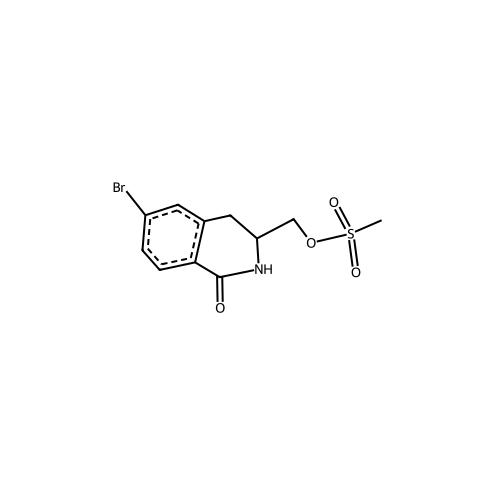 CS(=O)(=O)OCC1Cc2cc(Br)ccc2C(=O)N1